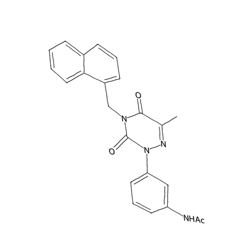 CC(=O)Nc1cccc(-n2nc(C)c(=O)n(Cc3cccc4ccccc34)c2=O)c1